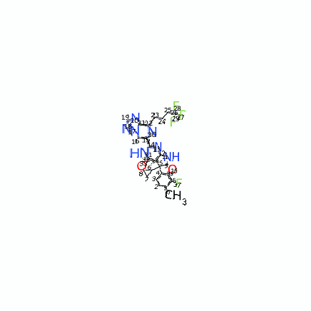 Cc1ccc(C2(C3CC3)C(=O)Nc3nc(-c4cn5ncnc5c(CCCC(F)(F)F)n4)[nH]c(=O)c32)cc1F